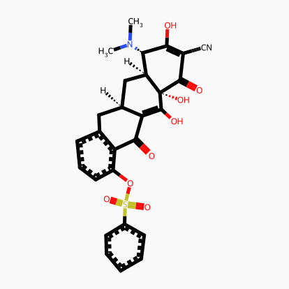 CN(C)[C@@H]1C(O)=C(C#N)C(=O)[C@@]2(O)C(O)=C3C(=O)c4c(cccc4OS(=O)(=O)c4ccccc4)C[C@H]3C[C@@H]12